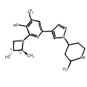 CC1CC(n2cc(-c3cc(C(F)(F)F)c(C#N)c(N4C[C@@H](O)[C@@H]4C)n3)cn2)CCN1